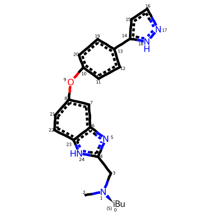 CC[C@H](C)N(C)Cc1nc2cc(Oc3ccc(-c4ccn[nH]4)cc3)ccc2[nH]1